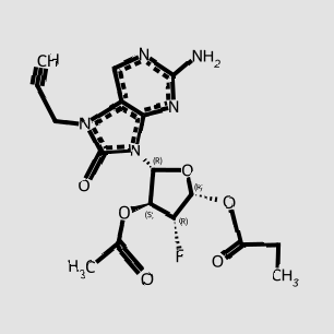 C#CCn1c(=O)n([C@@H]2O[C@H](OC(=O)CC)[C@H](F)[C@H]2OC(C)=O)c2nc(N)ncc21